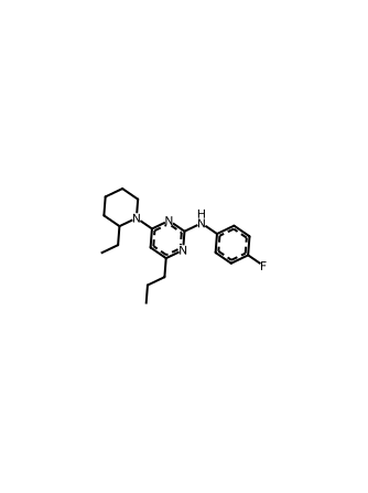 CCCc1cc(N2CCCCC2CC)nc(Nc2ccc(F)cc2)n1